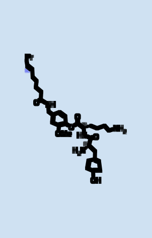 COc1cc(CNC(=O)CCCC/C=C/C(C)C)ccc1OC(=O)[C@H](CCCCN)NC(=O)[C@@H](N)Cc1ccc(O)cc1